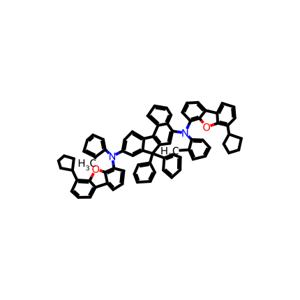 Cc1ccccc1N(c1ccc2c(c1)C(c1ccccc1)(c1ccccc1)c1cc(N(c3ccccc3C)c3cccc4c3oc3c(C5CCCC5)cccc34)c3ccccc3c1-2)c1cccc2c1oc1c(C3CCCC3)cccc12